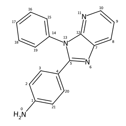 Nc1ccc(-c2nc3cccnc3n2-c2ccccc2)cc1